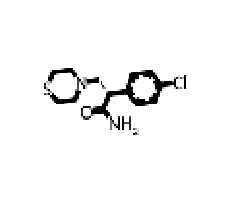 NC(=O)[C@H](CN1CCSCC1)c1ccc(Cl)cc1